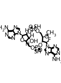 CO[C@@H]1COP(=O)(S)O[C@@H]2[C@H](O)[C@@H](COP(=O)(S)O[C@H]1[C@@H](F)n1cnc3c(N)ncnc31)O[C@H]2n1cnc2c(N)ncnc21